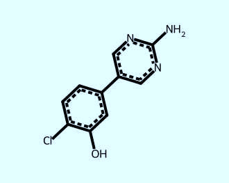 Nc1ncc(-c2ccc(Cl)c(O)c2)cn1